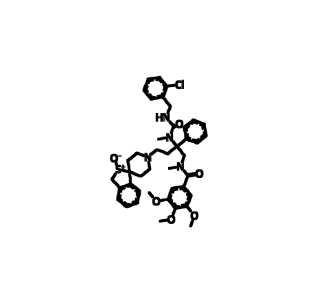 COc1cc(C(=O)N(C)CC(CCN2CCC3(CC2)c2ccccc2C[S+]3[O-])(c2ccccc2)N(C)C(=O)NCc2ccccc2Cl)cc(OC)c1OC